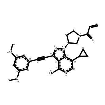 C=CC(=O)N1CC[C@H](n2nc(C#Cc3cc(OC)cc(OC)c3)c3c(N)ncc(C4CC4)c32)C1